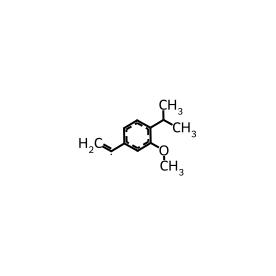 C=[C]c1ccc(C(C)C)c(OC)c1